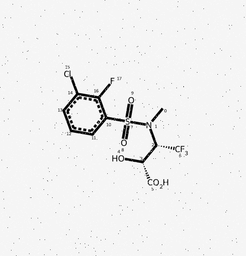 CN([C@@H]([C@@H](O)C(=O)O)C(F)(F)F)S(=O)(=O)c1cccc(Cl)c1F